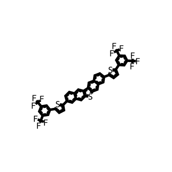 FC(F)(F)c1cc(-c2ccc(-c3ccc4cc5c(cc4c3)sc3cc4cc(-c6ccc(-c7cc(C(F)(F)F)cc(C(F)(F)F)c7)s6)ccc4cc35)s2)cc(C(F)(F)F)c1